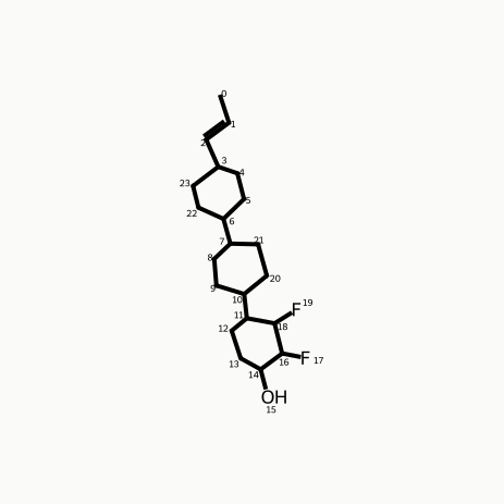 C/C=C/C1CCC(C2CCC(C3CCC(O)C(F)C3F)CC2)CC1